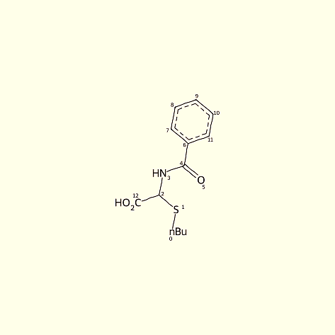 CCCCSC(NC(=O)c1ccccc1)C(=O)O